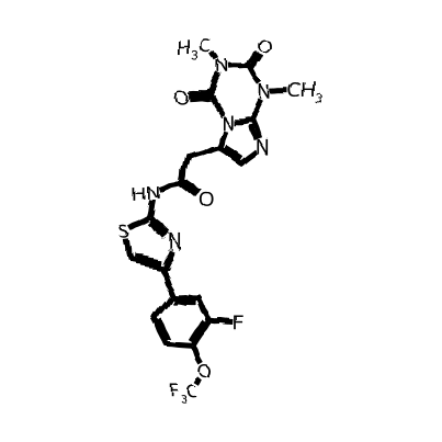 Cn1c(=O)n(C)c2ncc(CC(=O)Nc3nc(-c4ccc(OC(F)(F)F)c(F)c4)cs3)n2c1=O